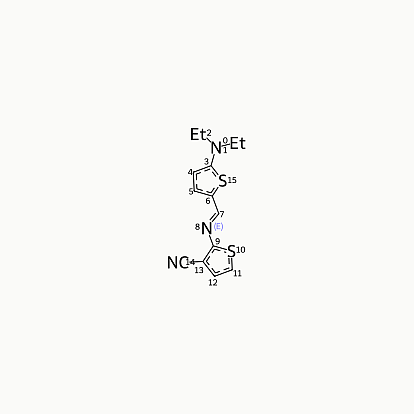 CCN(CC)c1ccc(/C=N/c2sccc2C#N)s1